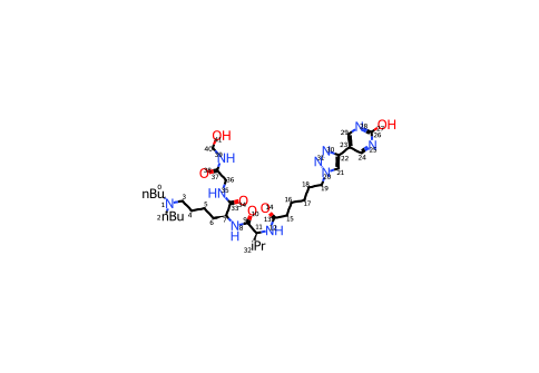 CCCCN(CCCC)CCCC[C@H](NC(=O)[C@@H](NC(=O)CCCCCn1cc(-c2cnc(O)nc2)nn1)C(C)C)C(=O)NCC(=O)NCO